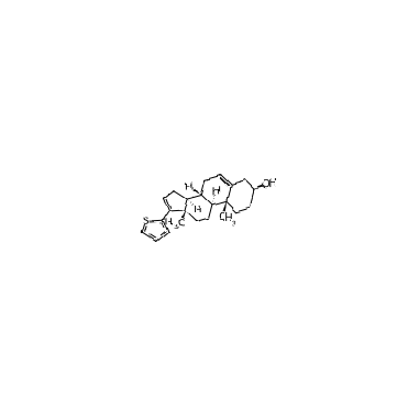 C[C@]12CC[C@H](O)CC1=CC[C@@H]1[C@@H]2CC[C@]2(C)C(c3cccs3)=CC[C@@H]12